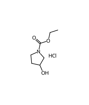 CCOC(=O)N1CCC(O)C1.Cl